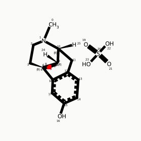 CN1CC[C@]23CCCC[C@H]2[C@H]1Cc1ccc(O)cc13.O=S(=O)(O)O